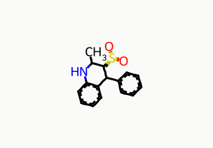 CC1Nc2ccccc2C(c2ccccc2)C1=S(=O)=O